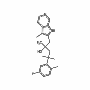 Cc1ccc(F)cc1C(C)(C)CC(O)(Cc1[nH]c2cnccc2c1C)C(F)(F)F